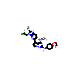 CNc1nc(NC2CCC3(CC2)OCCO3)nn2ccc(-c3ccc4nc(C)n(CC(F)F)c4n3)c12